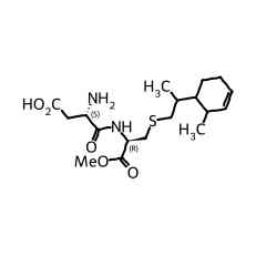 COC(=O)[C@H](CSCC(C)C1CCC=CC1C)NC(=O)[C@@H](N)CC(=O)O